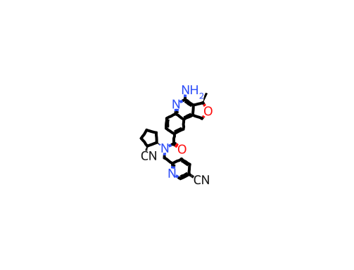 C[C@H]1OCc2c1c(N)nc1ccc(C(=O)N(Cc3ccc(C#N)cn3)[C@H]3CCC[C@@H]3C#N)cc21